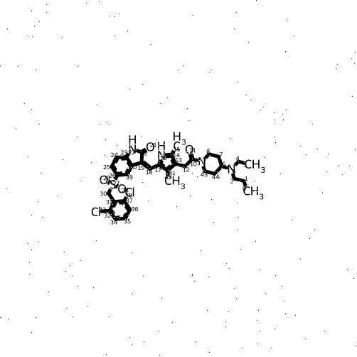 CCCN(CC)C1CCN(C(=O)Cc2c(C)[nH]c(/C=C3\C(=O)Nc4ccc(S(=O)(=O)Cc5c(Cl)cccc5Cl)cc43)c2C)CC1